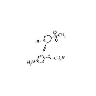 CC(C)c1ccc(S(C)(=O)=O)cc1C#Cc1cc(N)ccc1OCC(=O)O